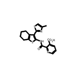 Cc1csc(-c2c(NC(=O)c3ncccc3C(=O)O)sc3c2CCCC3)n1